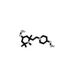 CN1C(C)(C)CC(OC(C)(C)C)CC1(C)CCN1CCC(OC(C)(C)C)CC1